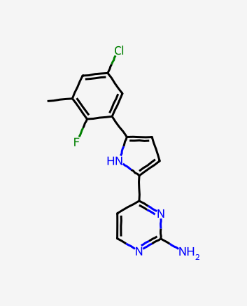 Cc1cc(Cl)cc(-c2ccc(-c3ccnc(N)n3)[nH]2)c1F